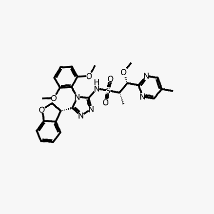 COc1cccc(OC)c1-n1c(NS(=O)(=O)[C@@H](C)[C@H](OC)c2ncc(C)cn2)nnc1[C@H]1COc2ccccc21